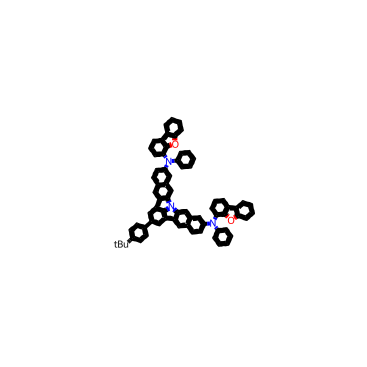 CC(C)(C)c1ccc(-c2cc3c4cc5ccc(N(c6ccccc6)c6cccc7c6oc6ccccc67)cc5cc4n4c5cc6cc(N(c7ccccc7)c7cccc8c7oc7ccccc78)ccc6cc5c(c2)c34)cc1